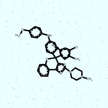 COc1ccc(Nc2ccc(C3(c4cc(C)c(Cl)cc4C)Oc4ccccc4-c4nc(N5CCN(C)CC5)sc43)cc2)cc1